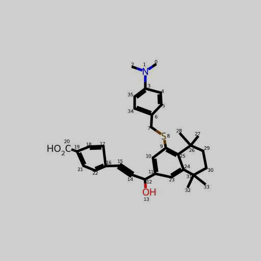 CN(C)c1ccc(CSc2cc(C(O)C#Cc3ccc(C(=O)O)cc3)cc3c2C(C)(C)CCC3(C)C)cc1